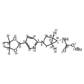 CC(C)(C)OC(=O)N[C@@H]1[C@@H]2CN(c3ccc(B4OC(C)(C)C(C)(C)O4)cn3)C[C@@H]21